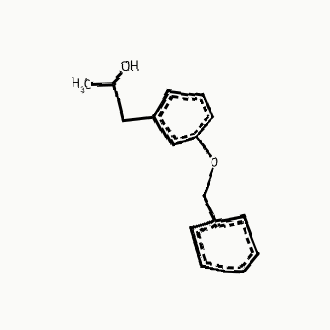 CC(O)Cc1cccc(OCc2ccccc2)c1